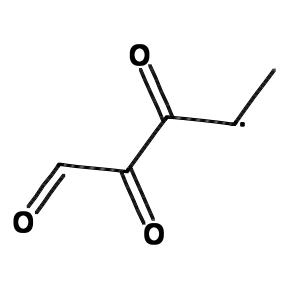 C[CH]C(=O)C(=O)C=O